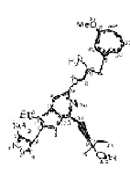 CCn1c(-c2nonc2N)nc2c(C#CC(C)(C)O)nc(OC[C@@H](N)Cc3cccc(OC)c3)cc21